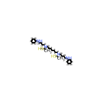 CC(S)N(CCCCCCCN(CCCCNc1ccccc1)C(C)S)CCCCNc1ccccc1